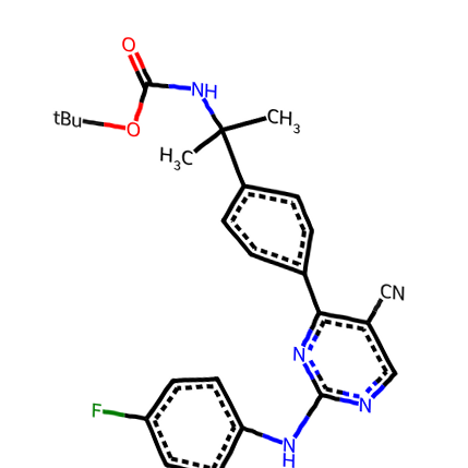 CC(C)(C)OC(=O)NC(C)(C)c1ccc(-c2nc(Nc3ccc(F)cc3)ncc2C#N)cc1